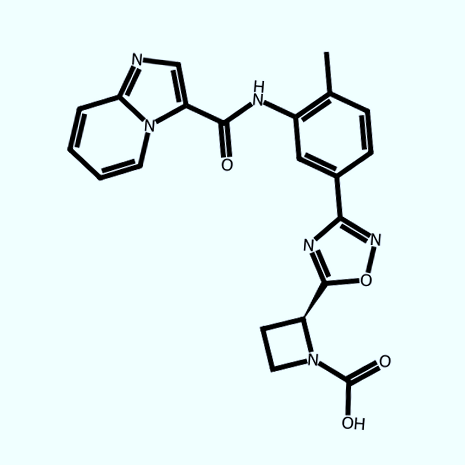 Cc1ccc(-c2noc([C@@H]3CCN3C(=O)O)n2)cc1NC(=O)c1cnc2ccccn12